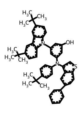 CC(C)(C)c1ccc(N(c2cc(O)cc(-n3c4ccc(C(C)(C)C)cc4c4cc(C(C)(C)C)ccc43)c2)c2csc3ccc(-c4ccccc4)cc23)cc1